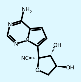 N#C[C@@]1(c2ccc3c(N)ncnn23)OC[C@H](O)[C@H]1O